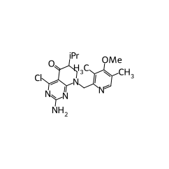 COc1c(C)cnc(CN2CC(C(C)C)C(=O)c3c(Cl)nc(N)nc32)c1C